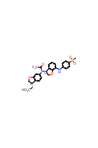 CS(=O)(=O)c1ccc(Nc2cccc3c2OC[C@H]3N(C(=O)C(F)(F)F)c2ccc3c(c2)OC[C@H]3CC(=O)O)cc1